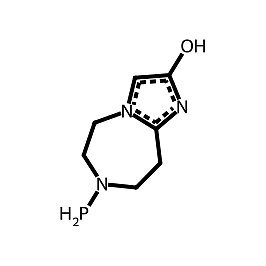 Oc1cn2c(n1)CCN(P)CC2